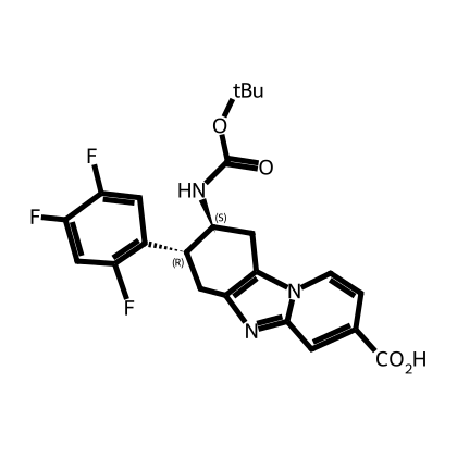 CC(C)(C)OC(=O)N[C@H]1Cc2c(nc3cc(C(=O)O)ccn23)C[C@@H]1c1cc(F)c(F)cc1F